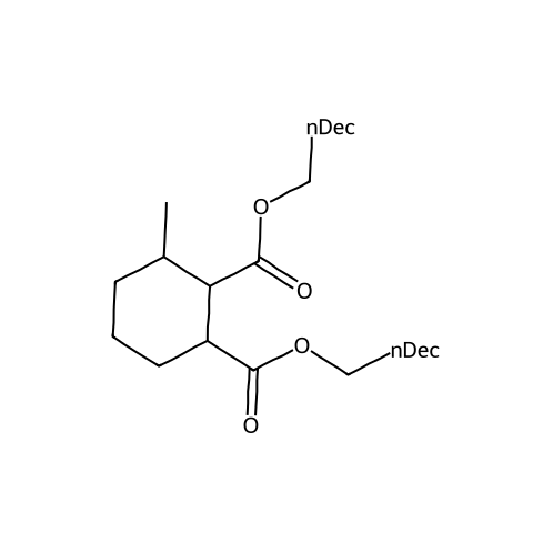 CCCCCCCCCCCOC(=O)C1CCCC(C)C1C(=O)OCCCCCCCCCCC